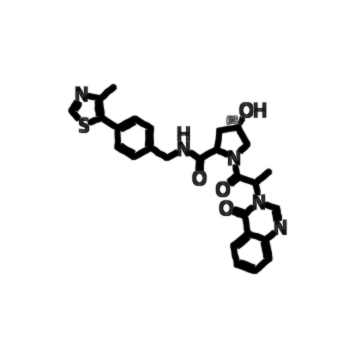 Cc1ncsc1-c1ccc(CNC(=O)C2C[C@@H](O)CN2C(=O)C(C)n2cnc3ccccc3c2=O)cc1